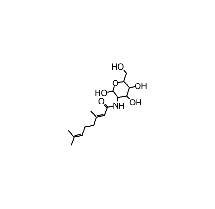 CC(C)=CCC/C(C)=C/C(=O)NC1C(O)OC(CO)C(O)C1O